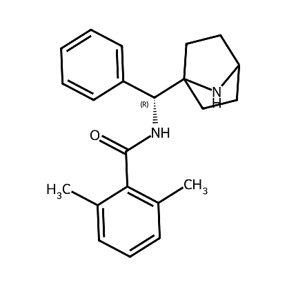 Cc1cccc(C)c1C(=O)N[C@H](c1ccccc1)C12CCC(CC1)N2